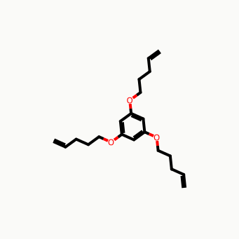 C=CCCCOc1cc(OCCCC=C)cc(OCCCC=C)c1